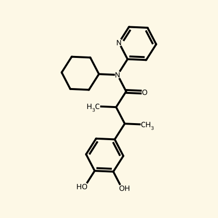 CC(C(=O)N(c1ccccn1)C1CCCCC1)C(C)c1ccc(O)c(O)c1